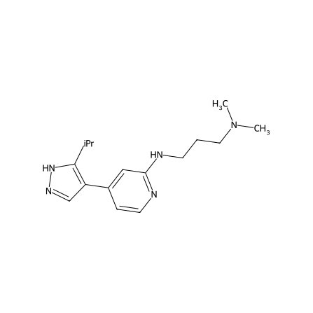 CC(C)c1[nH]ncc1-c1ccnc(NCCCN(C)C)c1